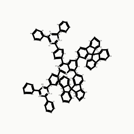 c1ccc(-c2nc(-c3ccccc3)nc(-c3ccc(-c4nc(-c5ccc(-c6nc(-c7ccccc7)nc(-c7ccccc7)n6)cc5)c5cc(-c6ccc7c(c6)C6(c8ccccc8-c8ccccc86)c6ccccc6-7)cc(-c6ccc7c(c6)C6(c8ccccc8-c8ccccc86)c6ccccc6-7)c5n4)cc3)n2)cc1